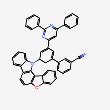 N#Cc1cccc(C2=CC(c3cc(-c4ccccc4)nc(-c4ccccc4)n3)=CC(n3c4ccccc4c4ccc5oc6ccccc6c5c43)C2)c1